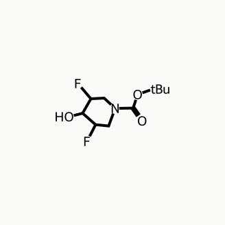 CC(C)(C)OC(=O)N1CC(F)C(O)C(F)C1